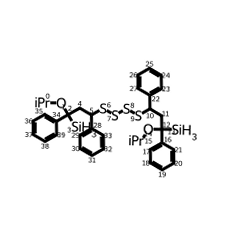 CC(C)OC([SiH3])(CC(SSSSC(CC([SiH3])(OC(C)C)c1ccccc1)c1ccccc1)c1ccccc1)c1ccccc1